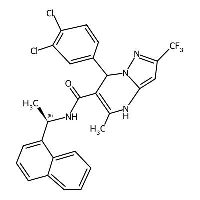 CC1=C(C(=O)N[C@H](C)c2cccc3ccccc23)C(c2ccc(Cl)c(Cl)c2)n2nc(C(F)(F)F)cc2N1